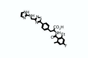 CCc1cc(F)cc(C)c1C(=O)NC(Cc1ccc(-c2nc(CNc3ncc[nH]3)ns2)cc1)C(=O)O